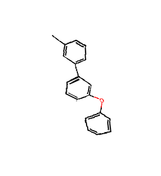 Cc1cccc(-c2cc[c]c(Oc3ccccc3)c2)c1